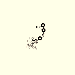 Cc1ccccc1-c1ccc(CCOc2ccc(NC(=O)C(NC(=O)OC(C)(C)C)C(C)O)cc2)cc1